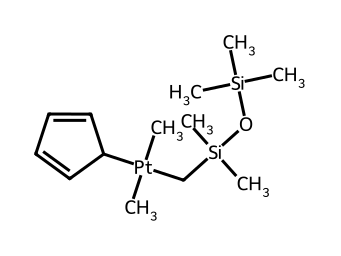 C[Si](C)(C)O[Si](C)(C)[CH2][Pt]([CH3])([CH3])[CH]1C=CC=C1